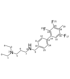 CCN(CC)CCCNCc1ccc(-c2cc(F)c(C)c(F)c2F)cc1